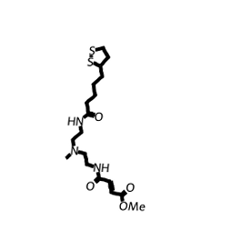 COC(=O)C=CC(=O)NCCN(C)CCNC(=O)CCCCC1CCSS1